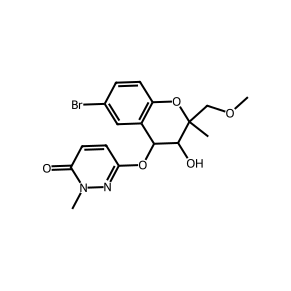 COCC1(C)Oc2ccc(Br)cc2C(Oc2ccc(=O)n(C)n2)C1O